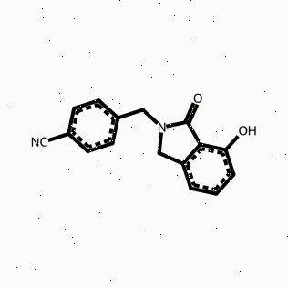 N#Cc1ccc(CN2Cc3cccc(O)c3C2=O)cc1